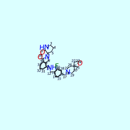 O=C1NCCCC1N1Cc2c(NCc3ccc(CN4CCC5(CCOC5)CC4)cc3F)cccc2C1=O